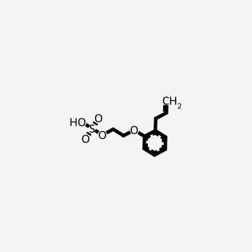 C=CCc1ccccc1OCCOS(=O)(=O)O